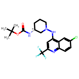 CC(C)(C)OC(=O)N[C@@H]1CCCN(Nc2cc(C(F)(F)F)nc3ccc(Cl)cc23)C1